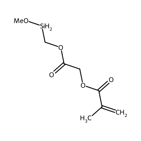 C=C(C)C(=O)OCC(=O)OC[SiH2]OC